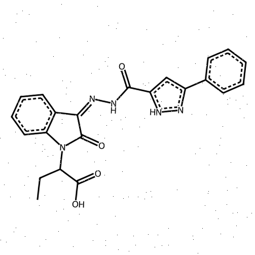 CCC(C(=O)O)N1C(=O)C(=NNC(=O)c2cc(-c3ccccc3)n[nH]2)c2ccccc21